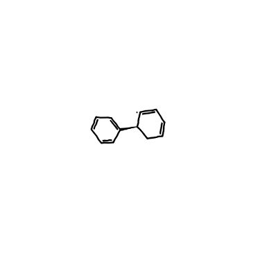 [C]1=CC=CC[C@H]1c1ccccc1